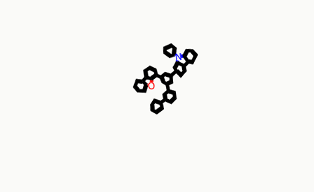 c1ccc(-c2cccc(-c3cc(-c4ccc5c6ccccc6n(-c6ccccc6)c5c4)cc(-c4cccc5c4oc4ccccc45)c3)c2)cc1